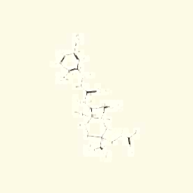 CC(=O)OCC1(C(=O)O)CS[C@@H]2C(NC(=O)CSc3cc(Cl)ccc3Cl)C(=O)N2C1